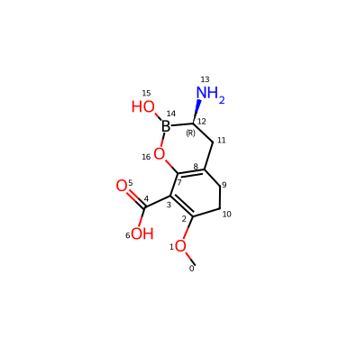 COC1=C(C(=O)O)C2=C(CC1)C[C@H](N)B(O)O2